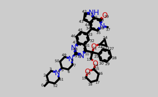 CC1CCN(C2CCN(c3nc(C(COC4CCCCO4)(OC4CC4)c4ccccc4)c4cc(-c5cn(C)c(=O)c6[nH]ccc56)ccc4n3)CC2)CC1